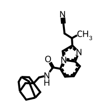 CC(CC#N)c1cn2c(C(=O)NCC34CC5CC(CC(C5)C3)C4)cccc2n1